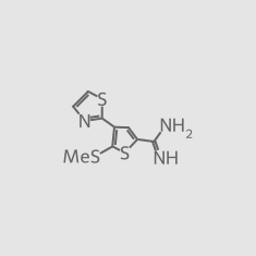 CSc1sc(C(=N)N)cc1-c1nccs1